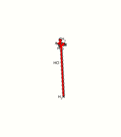 CC(=O)c1nn(CC(=O)N2[C@H](C(=O)Nc3nc(Br)ccc3C)C[C@@]3(CNC(=O)CCOCCOCCOCCOCCOCCOCCOCCOCCOCCOCCOCCOCCOCCOCCOCCOCCOCCOCCOCCOCCOCCOCCOCCOCCN)C[C@@H]23)c2c(C)cc(-c3cnc(C)nc3)cc12.Cl